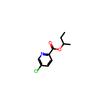 CCC(C)OC(=O)c1ccc(Cl)cn1